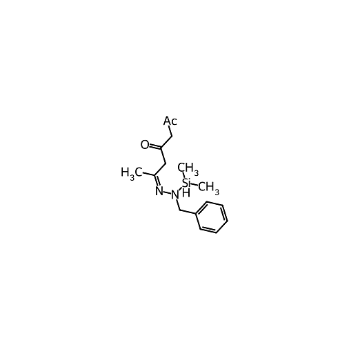 CC(=O)CC(=O)CC(C)=NN(Cc1ccccc1)[SiH](C)C